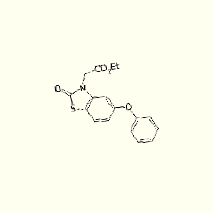 CCOC(=O)Cn1c(=O)sc2ccc(Oc3ccccc3)cc21